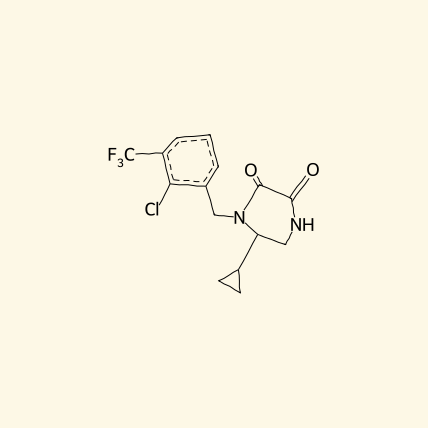 O=C1NCC(C2CC2)N(Cc2cccc(C(F)(F)F)c2Cl)C1=O